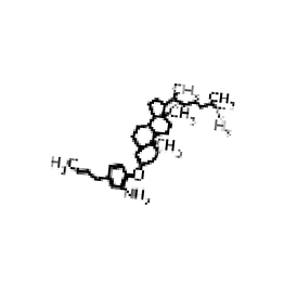 CCCCc1ccc(OC2CCC3(C)C(CCC4C3CCC3(C)C(C(C)CCCC(C)C)CCC43)C2)c(N)c1